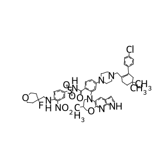 CC1COc2nc3[nH]ccc3cc2N(c2cc(N3CCN(CC4=C(c5ccc(Cl)cc5)CC(C)(C)CC4)CC3)ccc2C(=O)NS(=O)(=O)c2ccc(NCC3(F)CCOCC3)c([N+](=O)[O-])c2)C1